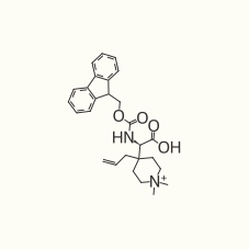 C=CCC1([C@@H](NC(=O)OCC2c3ccccc3-c3ccccc32)C(=O)O)CC[N+](C)(C)CC1